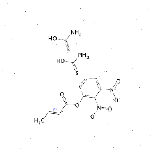 C/C=C/C(=O)Oc1cccc([N+](=O)[O-])c1[N+](=O)[O-].NC(O)=S.NC(O)=S